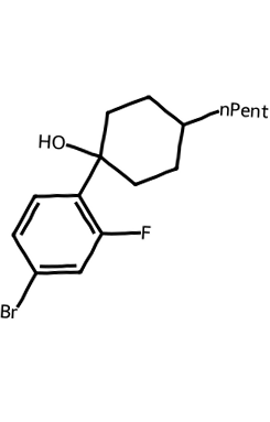 CCCCCC1CCC(O)(c2ccc(Br)cc2F)CC1